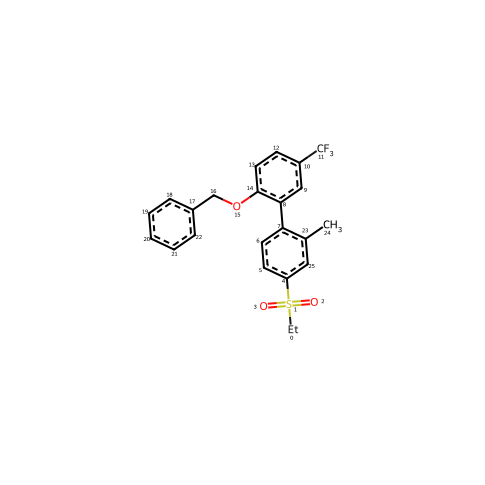 CCS(=O)(=O)c1ccc(-c2cc(C(F)(F)F)ccc2OCc2ccccc2)c(C)c1